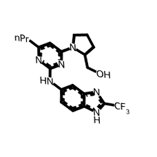 CCCc1cc(N2CCCC2CO)nc(Nc2ccc3[nH]c(C(F)(F)F)nc3c2)n1